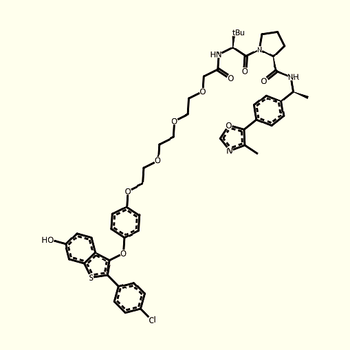 Cc1ncoc1-c1ccc([C@H](C)NC(=O)[C@@H]2CCCN2C(=O)[C@@H](NC(=O)COCCOCCOCCOc2ccc(Oc3c(-c4ccc(Cl)cc4)sc4cc(O)ccc34)cc2)C(C)(C)C)cc1